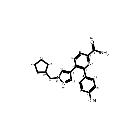 N#Cc1ccc(-c2nc(C(N)=O)ccc2-c2cnn(CC3CCCC3)c2)cc1